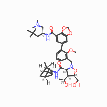 COc1c(CN2O[C@@H](CO)[C@@H]([C@H](C)O)[C@H]2C(=O)N[C@H]2C[C@H]3C[C@@H]([C@@H]2C)C3(C)C)cccc1-c1cc2c(c(C(=O)N[C@H](CN(C)C)CC(C)(C)C)c1)OCO2